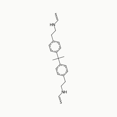 CC(C)(c1ccc(CCNC=S)cc1)c1ccc(CCNC=S)cc1